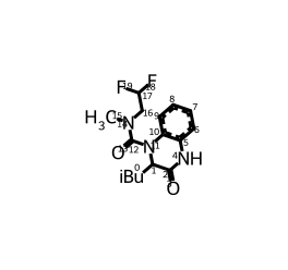 CCC(C)C1C(=O)Nc2ccccc2N1C(=O)N(C)CC(F)F